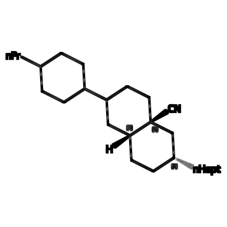 CCCCCCC[C@@H]1CC[C@@H]2CC(C3CCC(CCC)CC3)CC[C@]2(C#N)C1